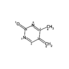 C=C1C=NC(=O)N=C1C